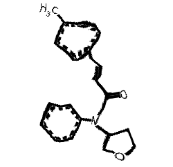 Cc1ccc(C=CC(=O)N(c2ccccc2)C2CCOC2)cc1